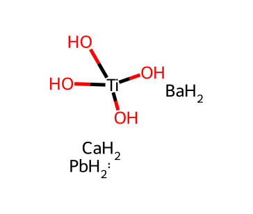 [BaH2].[CaH2].[OH][Ti]([OH])([OH])[OH].[PbH2]